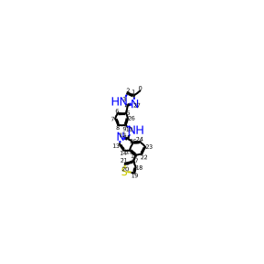 Cc1c[nH]c(-c2cccc(Nc3nccc4c(-c5ccsc5)cccc34)c2)n1